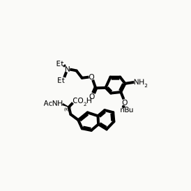 CC(=O)N[C@H](Cc1ccc2ccccc2c1)C(=O)O.CCCCOc1cc(C(=O)OCCN(CC)CC)ccc1N